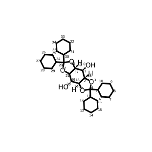 O[C@H]1[C@@H]2OC(C3CCCCC3)(C3CCCCC3)O[C@H]2[C@H](O)C2OC(C3CCCCC3)(C3CCCCC3)O[C@@H]21